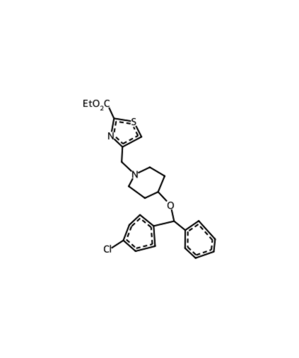 CCOC(=O)c1nc(CN2CCC(OC(c3ccccc3)c3ccc(Cl)cc3)CC2)cs1